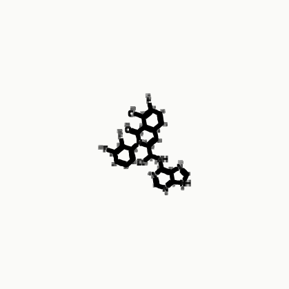 CCC(Nc1ncnc2[nH]cnc12)c1cc2ccc(F)c(Cl)c2c(=O)n1-c1cccc(F)c1F